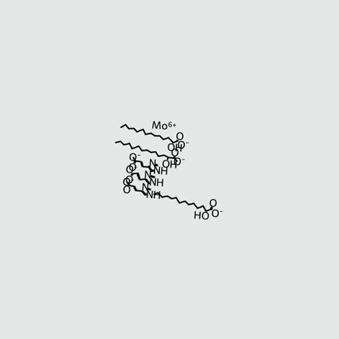 CCCCCCCCCCCCC(O)C(=O)[O-].CCCCCCCCCCCCC(O)C(=O)[O-].CCCCCCCCCCCCC(O)C(=O)[O-].O=C([O-])C=Cc1c[nH]cn1.O=C([O-])C=Cc1c[nH]cn1.O=C([O-])C=Cc1c[nH]cn1.[Mo+6]